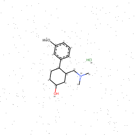 COc1cccc(C2CCC(O)CC2CN(C)C)c1.Cl